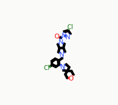 O=C(N1CC2CN(Cc3ccc(Cl)cc3N3CCC4(CCOCC4)C3)CC2C1)n1cc(Cl)cn1